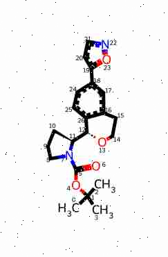 CC(C)(C)OC(=O)N1CCC[C@H]1[C@H]1OCCc2cc(-c3ccno3)ccc21